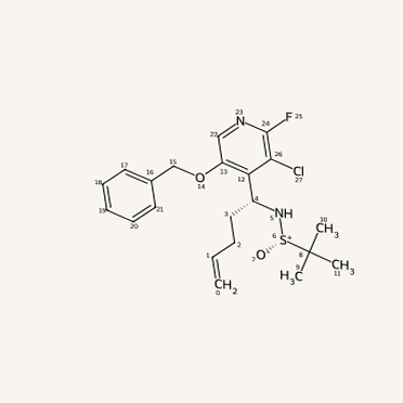 C=CCC[C@@H](N[S@@+]([O-])C(C)(C)C)c1c(OCc2ccccc2)cnc(F)c1Cl